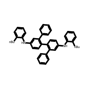 CCCCc1ccccc1Nc1ccc(-c2ccc(Nc3ccccc3CCCC)cc2-c2ccccc2)c(-c2ccccc2)c1